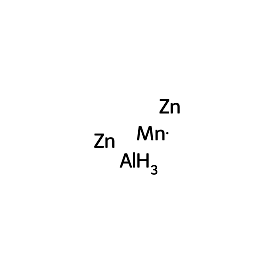 [AlH3].[Mn].[Zn].[Zn]